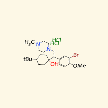 COc1ccc(C(CN2CCN(C)CC2)C2(O)CCC(C(C)(C)C)CC2)cc1Br.Cl.Cl